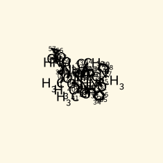 CC[C@H]1C[C@@]1(NC(=O)[C@@H]1C[C@@]2(CN1C(=O)[C@@H](NC(=O)[C@@H](NC(=O)C(C)(C)N1CCCCC1)C1CCCCC1)C(C)(C)C)C(C)(C)C21CCC1)C(=O)NS(=O)(=O)C1CC1